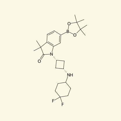 CC1(C)C(=O)N([C@H]2C[C@@H](NC3CCC(F)(F)CC3)C2)c2cc(B3OC(C)(C)C(C)(C)O3)ccc21